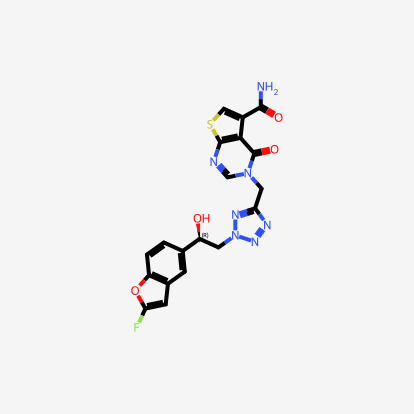 NC(=O)c1csc2ncn(Cc3nnn(C[C@H](O)c4ccc5oc(F)cc5c4)n3)c(=O)c12